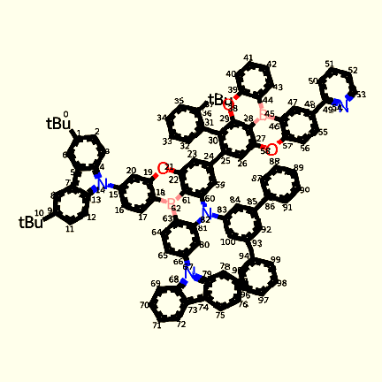 CC(C)(C)c1ccc2c(c1)c1cc(C(C)(C)C)ccc1n2-c1ccc2c(c1)Oc1cc(-c3cc4c5c(c3-c3ccccc3C(C)(C)C)Oc3ccccc3B5c3cc(-c5ccccn5)ccc3O4)cc3c1B2c1ccc(-n2c4ccccc4c4ccccc42)cc1N3c1cc(-c2ccccc2)cc(-c2ccccc2)c1